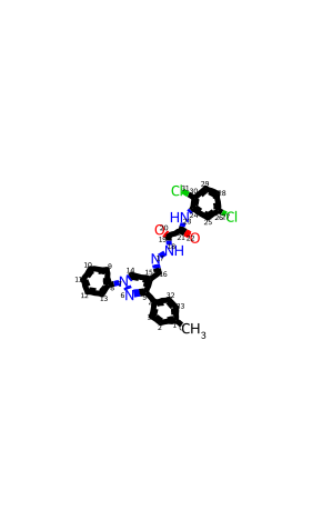 Cc1ccc(-c2nn(-c3ccccc3)cc2/C=N/NC(=O)C(=O)Nc2cc(Cl)ccc2Cl)cc1